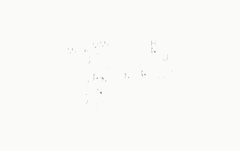 COc1cc2c(CCN3CCN(c4cccc(Cl)c4CN)CC3)nn(Cc3ccccn3)c2cc1OC